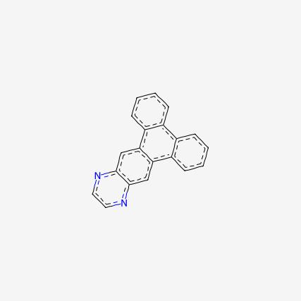 c1ccc2c(c1)c1ccccc1c1cc3nccnc3cc21